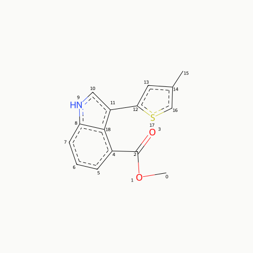 COC(=O)c1cccc2[nH]cc(-c3cc(C)cs3)c12